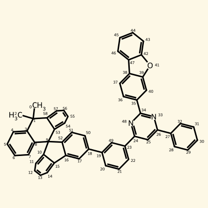 CC1(C)c2ccccc2C2(c3ccccc3-c3cc(-c4cccc(-c5cc(-c6ccccc6)nc(-c6ccc7c(c6)oc6ccccc67)n5)c4)ccc32)c2ccccc21